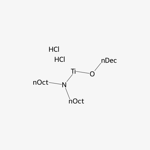 CCCCCCCCCC[O][Ti][N](CCCCCCCC)CCCCCCCC.Cl.Cl